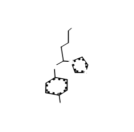 CCCCC(Sc1ccc(Cl)cc1)n1ccnc1